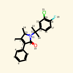 CC1=C(c2ccccc2)C(=O)N(C(C)(C)c2ccc(F)c(Cl)c2)C1C